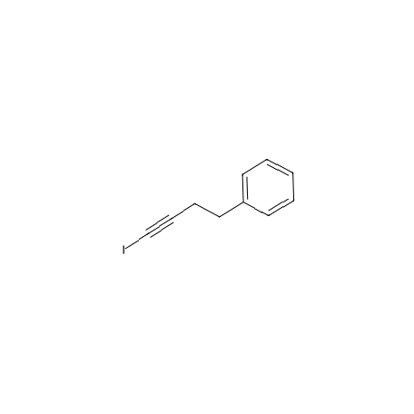 IC#CCCc1ccccc1